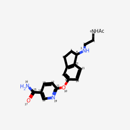 CC(=O)NCCNC1CCc2cc(Oc3ccc(C(N)=O)cn3)ccc21